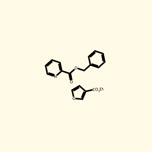 CCOC(=O)c1ccoc1.O=C(OCc1ccccc1)c1ccccn1